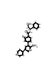 Nc1ncc(-c2ccncc2)cc1-c1ccc(C(=O)C[C@H](CO)c2ccccc2)c(F)c1